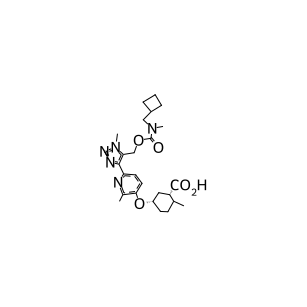 Cc1nc(-c2nnn(C)c2COC(=O)N(C)CC2CCC2)ccc1O[C@H]1CCC(C)[C@@H](C(=O)O)C1